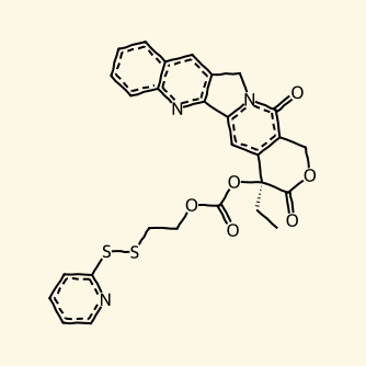 CC[C@@]1(OC(=O)OCCSSc2ccccn2)C(=O)OCc2c1cc1n(c2=O)Cc2cc3ccccc3nc2-1